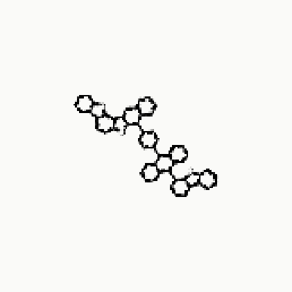 c1ccc2c(-c3ccc(-c4c5ccccc5c(-c5cccc6c5oc5ccccc56)c5ccccc45)cc3)c3oc4ccc5c6ccccc6sc5c4c3cc2c1